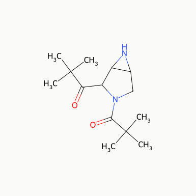 CC(C)(C)C(=O)C1C2NC2CN1C(=O)C(C)(C)C